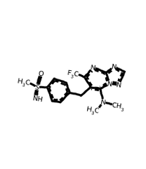 CN(C)c1c(Cc2ccc(S(C)(=N)=O)cc2)c(C(F)(F)F)nc2ncnn12